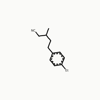 CCc1ccc(CCC(C)CC#N)cc1